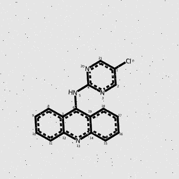 Clc1cnc(Nc2c3ccccc3nc3ccccc23)nc1